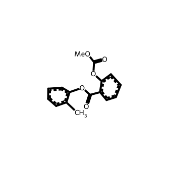 COC(=O)Oc1ccccc1C(=O)Oc1ccccc1C